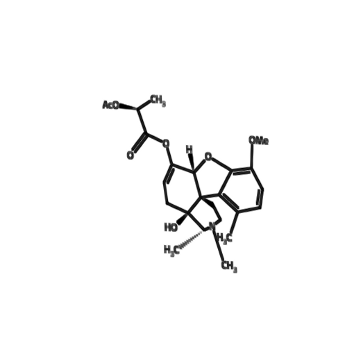 COc1ccc(C)c2c1O[C@H]1C(OC(=O)[C@H](C)OC(C)=O)=CC[C@@]3(O)[C@@H](C)N(C)CC[C@]213